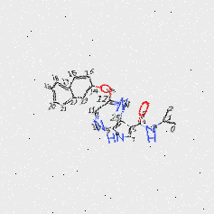 CC(C)NC(=O)c1c[nH]c2ncc(Oc3ccc4ccccc4c3)nc12